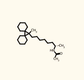 CC(=O)N[C@@H](C)CCCCCCC1(C)C2(CCCCC2)C12CCCCC2